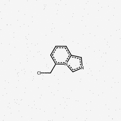 ClCc1cccc2cncn12